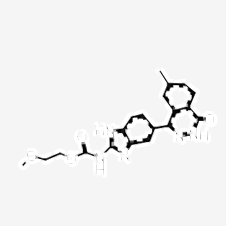 COCCOC(=O)Nc1nc2cc(-c3n[nH]c(=O)c4ccc(C)cc34)ccc2[nH]1